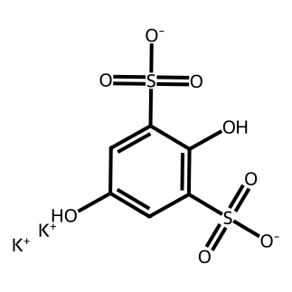 O=S(=O)([O-])c1cc(O)cc(S(=O)(=O)[O-])c1O.[K+].[K+]